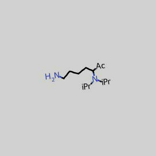 CC(=O)C(CCCCN)N(C(C)C)C(C)C